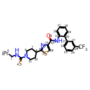 CC(C)CNC(=S)N1CCC(c2nc(C(=O)Nc3ccccc3-c3cccc(C(F)(F)F)c3)cs2)CC1